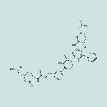 O=C(O)C[C@@H]1CC[C@H](NC(=O)OCc2cccc(N3CCN(C(=O)N[C@@H](C(=O)N[C@H]4CC[C@@H](CC(=O)O)OB4O)c4ccccc4)C(=O)C3=O)c2)B(O)O1